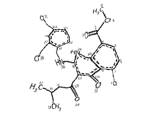 COC(=O)c1ccc(Cl)c2c(=O)c(C(=O)CC(C)C)c(Nc3ccc(Cl)cc3Cl)[nH]c12